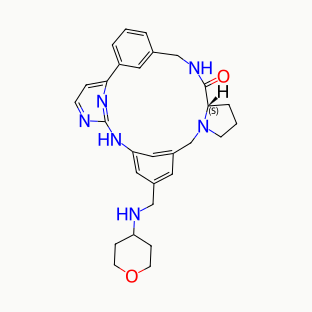 O=C1NCc2cccc(c2)-c2ccnc(n2)Nc2cc(CNC3CCOCC3)cc(c2)CN2CCC[C@@H]12